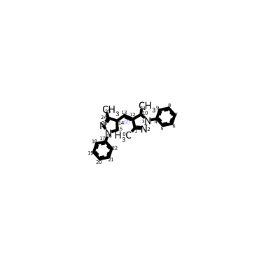 CC1=NN(c2ccccc2)C(C)/C1=C/C1CN(c2ccccc2)N=C1C